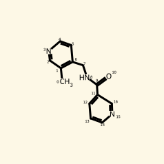 Cc1cnccc1CNC(=O)c1cccnc1